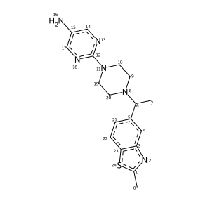 Cc1nc2cc(C(C)N3CCN(c4ncc(N)cn4)CC3)ccc2s1